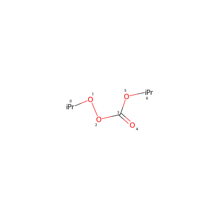 CC(C)OOC(=O)OC(C)C